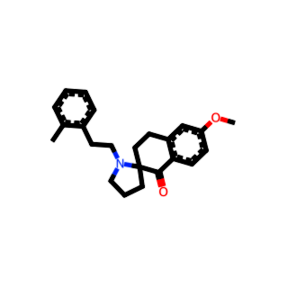 COc1ccc2c(c1)CCC1(CCCN1CCc1ccccc1C)C2=O